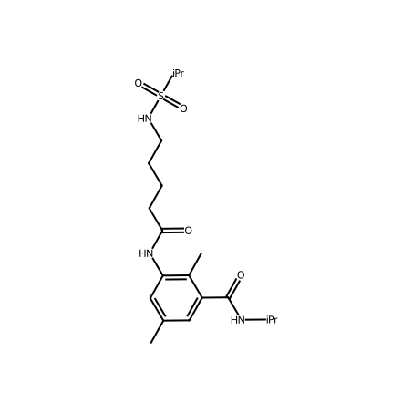 Cc1cc(NC(=O)CCCCNS(=O)(=O)C(C)C)c(C)c(C(=O)NC(C)C)c1